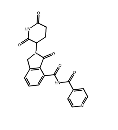 O=C1CCC(N2Cc3cccc(C(=O)NC(=O)c4ccncc4)c3C2=O)C(=O)N1